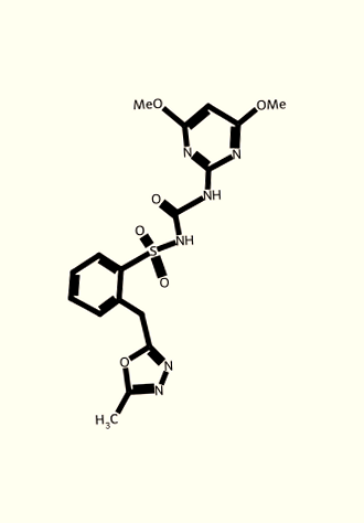 COc1cc(OC)nc(NC(=O)NS(=O)(=O)c2ccccc2Cc2nnc(C)o2)n1